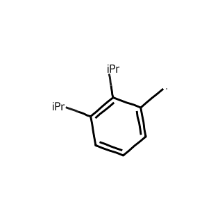 [CH2]c1cccc(C(C)C)c1C(C)C